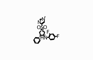 Cn1cnc(S(=O)(=O)N2C[C@@H](Nc3ccc(F)cc3F)[C@H](c3ccccc3)C2)c1